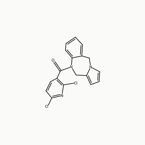 O=C(c1ccc(Cl)nc1Cl)N1Cc2cccn2Cc2ccccc21